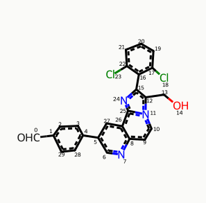 O=Cc1ccc(-c2cnc3ccn4c(CO)c(-c5c(Cl)cccc5Cl)nc4c3c2)cc1